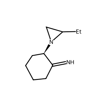 CCC1CN1[C@@H]1CCCCC1=N